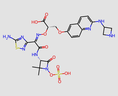 CC1(C)[C@H](NC(=O)/C(=N\O[C@@H](COc2ccc3nc(NC4CNC4)ccc3c2)C(=O)O)c2nsc(N)n2)C(=O)N1OS(=O)(=O)O